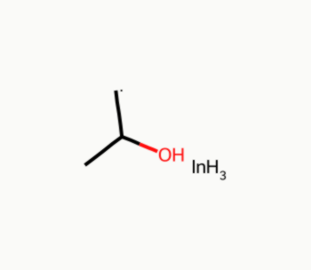 [CH2]C(C)O.[InH3]